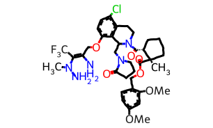 COc1ccc(COC(=O)[C@@]2(C)CCCC[C@H]2C(=O)N2CCc3c(Cl)ccc(OC/C(N)=C(/N(C)N)C(F)(F)F)c3C2CN2CCCC2=O)c(OC)c1